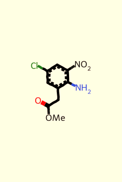 COC(=O)Cc1cc(Cl)cc([N+](=O)[O-])c1N